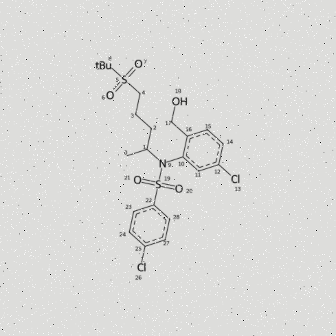 CC(CCCS(=O)(=O)C(C)(C)C)N(c1cc(Cl)ccc1CO)S(=O)(=O)c1ccc(Cl)cc1